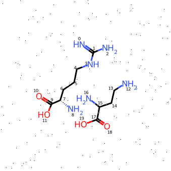 N=C(N)NCCC[C@H](N)C(=O)O.NCCC(N)C(=O)O